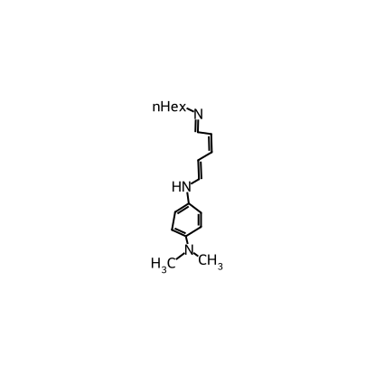 CCCCCC/N=C/C=C\C=C\Nc1ccc(N(C)C)cc1